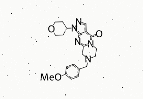 COc1ccc(CN2CCn3c(nc4c(cnn4C4CCOCC4)c3=O)C2)cc1